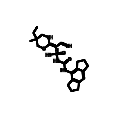 CCC1(C)CN/C(=C(\C=N)[SH](=O)(S)NC(=O)Nc2c3c(cc4c2CCC4)CCC3)OC1